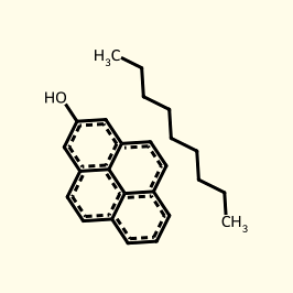 CCCCCCCCC.Oc1cc2ccc3cccc4ccc(c1)c2c34